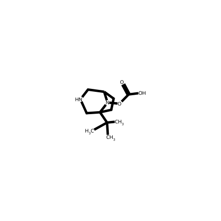 CC(C)(C)C12CCC(CNC1)N2OC(=O)O